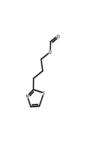 O=[C]OCCCc1nccs1